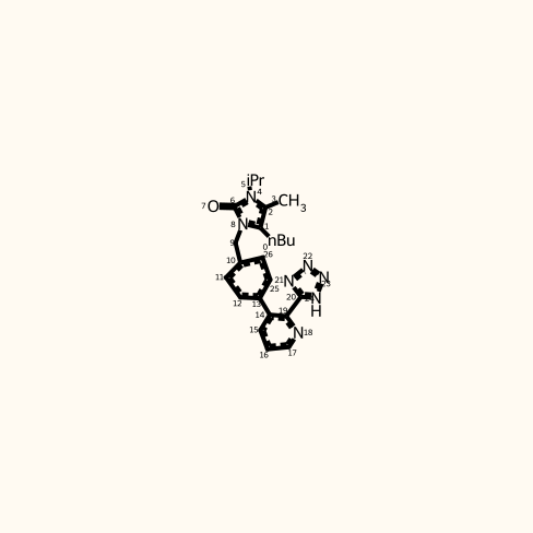 CCCCc1c(C)n(C(C)C)c(=O)n1Cc1ccc(-c2cccnc2-c2nnn[nH]2)cc1